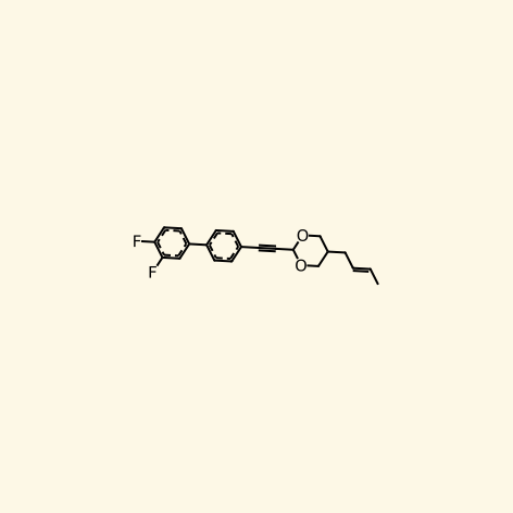 C/C=C/CC1COC(C#Cc2ccc(-c3ccc(F)c(F)c3)cc2)OC1